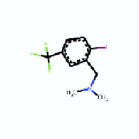 CN(C)Cc1cc(C(F)(F)F)ccc1I